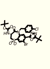 CC(C)(C)OC(=O)N[C@H]1CS(=O)(=O)c2cc(Br)c(-c3nnc(C(C)(C)C)o3)cc2N(Cc2ccc(Cl)cc2)C1=O